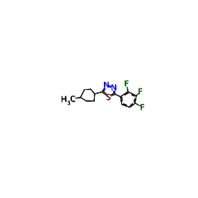 CC1CCC(c2nnc(-c3ccc(F)c(F)c3F)s2)CC1